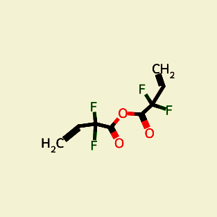 C=CC(F)(F)C(=O)OC(=O)C(F)(F)C=C